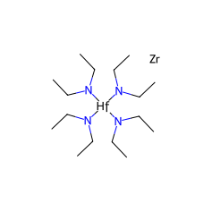 CC[N](CC)[Hf]([N](CC)CC)([N](CC)CC)[N](CC)CC.[Zr]